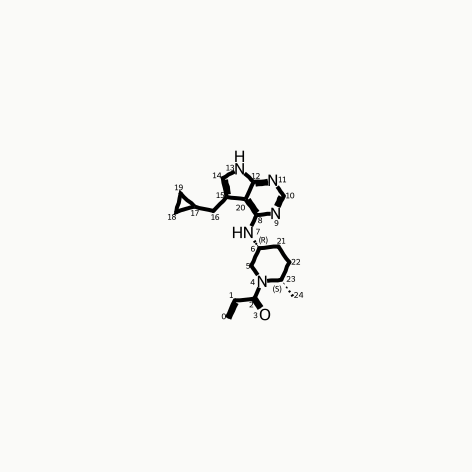 C=CC(=O)N1C[C@H](Nc2ncnc3[nH]cc(CC4CC4)c23)CC[C@@H]1C